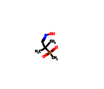 CC(C)(/C=N\O)S(C)(=O)=O